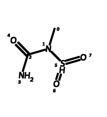 CN(C(N)=O)[SH](=O)=O